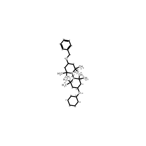 CC1(C)CC(OCc2ccccc2)CC(C)(C)N1N1C(C)(C)CC(OC2CCCCC2)CC1(C)C